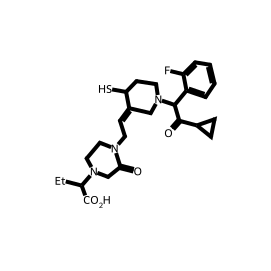 CCC(C(=O)O)N1CCN(CC=C2CN(C(C(=O)C3CC3)c3ccccc3F)CCC2S)C(=O)C1